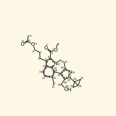 COC(=O)c1c(CCCOC(C)=O)c2ccc(F)c(-c3c(C)nn(C45CC4C5)c3CO)c2n1C